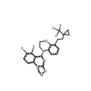 Fc1ccc2c(c(N3CCOc4c(CCC5(C(F)(F)F)CC5)cccc43)nc3nncn32)c1F